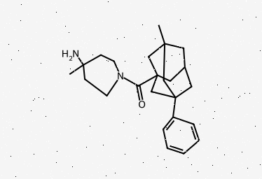 CC1(N)CCN(C(=O)C23CC4CC(C)(C2)CC(c2ccccc2)(C4)C3)CC1